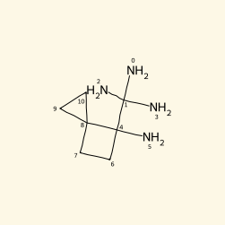 NC(N)(N)C1(N)CCC12CC2